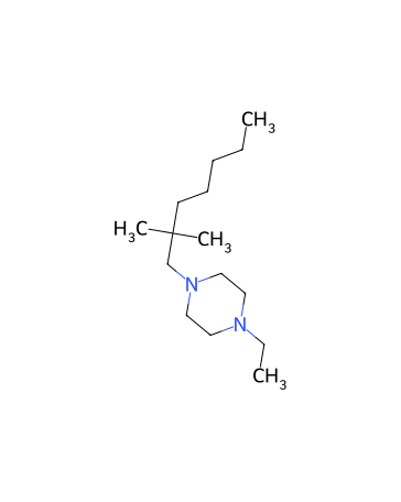 CCCCCC(C)(C)CN1CCN(CC)CC1